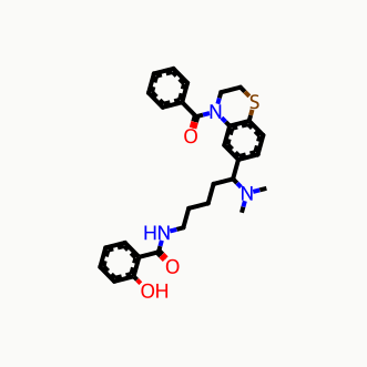 CN(C)C(CCCCNC(=O)c1ccccc1O)c1ccc2c(c1)N(C(=O)c1ccccc1)CCS2